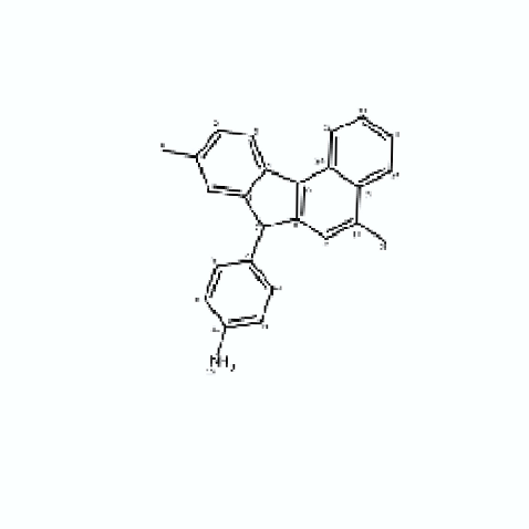 Cc1ccc2c(c1)C(c1ccc(N)cc1)c1cc(C)c3ccccc3c1-2